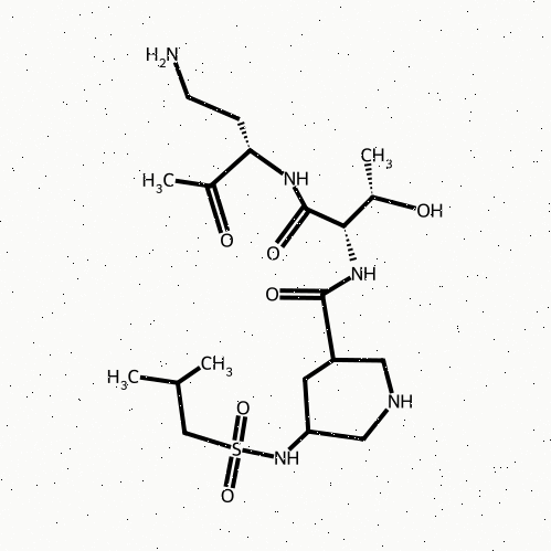 CC(=O)[C@H](CCN)NC(=O)[C@@H](NC(=O)C1CNCC(NS(=O)(=O)CC(C)C)C1)[C@H](C)O